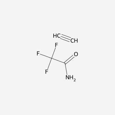 C#C.NC(=O)C(F)(F)F